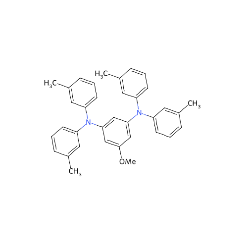 COc1cc(N(c2cccc(C)c2)c2cccc(C)c2)cc(N(c2cccc(C)c2)c2cccc(C)c2)c1